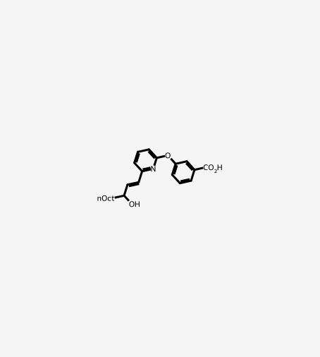 CCCCCCCCC(O)/C=C/c1cccc(Oc2cccc(C(=O)O)c2)n1